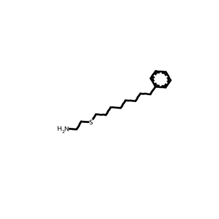 NCCSCCCCCCCCc1ccccc1